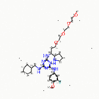 COCCOCCOCCOCCC(Nc1nc(NCC2CCCCC2)nc(Nc2ccc(OC)c(F)c2)n1)C1CCCN1